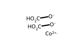 O=C([O-])O.O=C([O-])O.[Co+2]